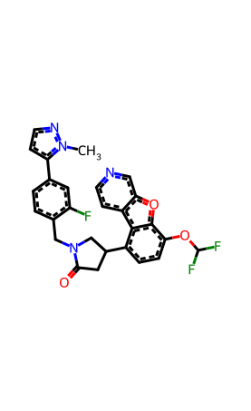 Cn1nccc1-c1ccc(CN2CC(c3ccc(OC(F)F)c4oc5cnccc5c34)CC2=O)c(F)c1